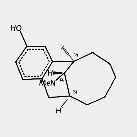 CN[C@H]1[C@H]2CCCCC[C@]1(C)c1cc(O)ccc1C2